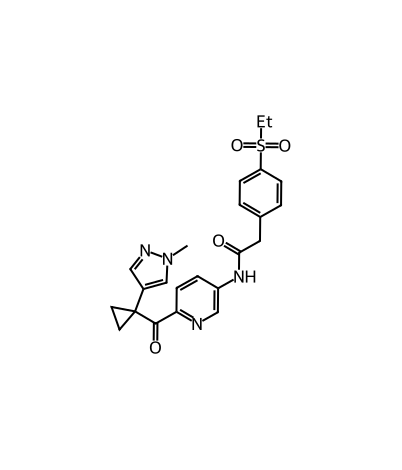 CCS(=O)(=O)c1ccc(CC(=O)Nc2ccc(C(=O)C3(c4cnn(C)c4)CC3)nc2)cc1